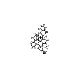 Brc1ccc2ccc3c(N(c4ccc5ccccc5c4)c4nccc(-c5ccccc5)n4)ccc4ccc1c2c43